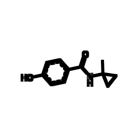 CC1(NC(=O)c2ccc(O)cc2)CC1